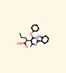 CCCC(C(=O)O)c1c(C)nc2c3ccccc3nn2c1Oc1ccccc1